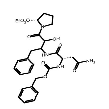 CCOC(=O)[C@@H]1CCCN1C(=O)C(O)C(Cc1ccccc1)NC(=O)[C@H](CC(N)=O)NC(=O)OCc1ccccc1